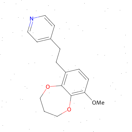 COc1ccc(CCc2ccncc2)c2c1OCCCO2